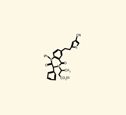 CCOC(=O)CC(C)N1C(=O)c2cc(CCc3cc(C#N)cs3)ccc2N(C(C)C)C(=O)C1c1ccccc1